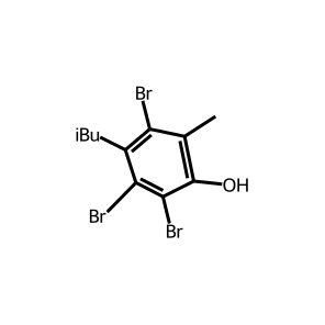 CCC(C)c1c(Br)c(C)c(O)c(Br)c1Br